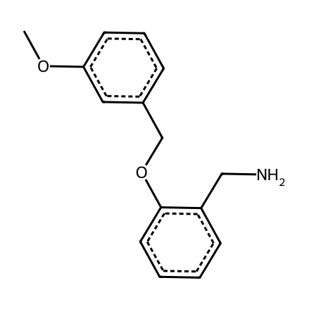 COc1cccc(COc2ccccc2CN)c1